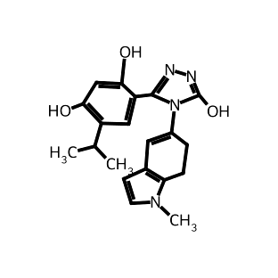 CC(C)c1cc(-c2nnc(O)n2C2=Cc3ccn(C)c3CC2)c(O)cc1O